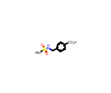 CCCCS(=O)(=O)NCc1ccc(C(=O)O)cc1